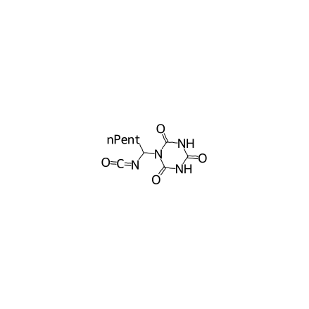 CCCCCC(N=C=O)n1c(=O)[nH]c(=O)[nH]c1=O